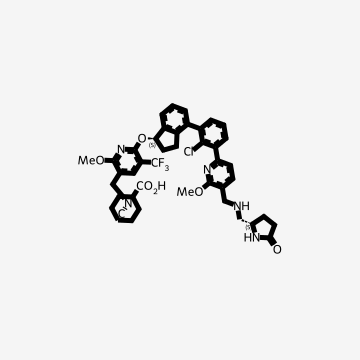 COc1nc(-c2cccc(-c3cccc4c3CC[C@@H]4Oc3nc(OC)c(CN4CC5CCC4(C(=O)O)CC5)cc3C(F)(F)F)c2Cl)ccc1CNC[C@@H]1CCC(=O)N1